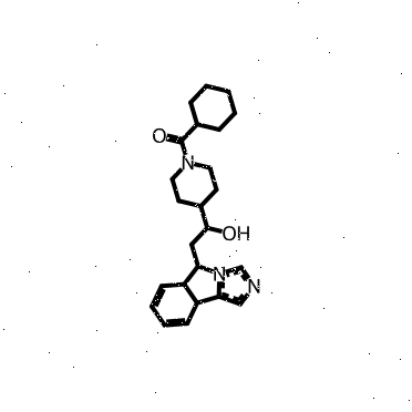 O=C(C1CCCCC1)N1CCC(C(O)CC2C3C=CC=CC3c3cncn32)CC1